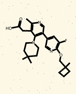 Cc1ncc(-c2cnc(OCC3(C)CCC3)c(F)c2)c(N2CCC(C)(C)CC2)c1CC(=O)O